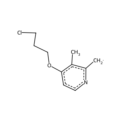 [CH2]c1nccc(OCCCCl)c1C